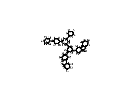 c1ccc(-c2nc(-c3ccc(-c4cccnc4)cc3)nc(-c3cc(-c4ccc5sc6ccccc6c5c4)cc(-c4ccc5sc6ccccc6c5c4)c3)n2)cc1